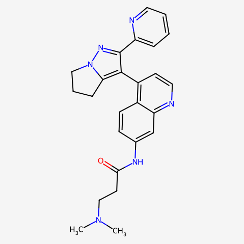 CN(C)CCC(=O)Nc1ccc2c(-c3c(-c4ccccn4)nn4c3CCC4)ccnc2c1